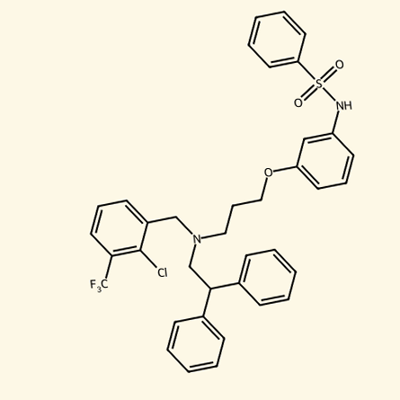 O=S(=O)(Nc1cccc(OCCCN(Cc2cccc(C(F)(F)F)c2Cl)CC(c2ccccc2)c2ccccc2)c1)c1ccccc1